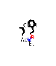 CC=C(C)C(=O)O.CCN(OCCc1ccccc1)C(C)=O